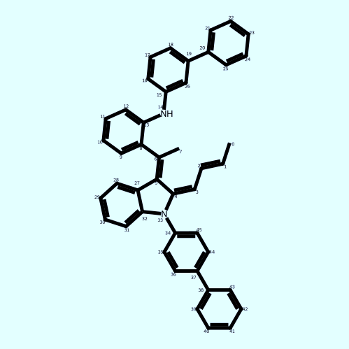 C/C=C/C=c1\c(=C(/C)c2ccccc2Nc2cccc(-c3ccccc3)c2)c2ccccc2n1-c1ccc(-c2ccccc2)cc1